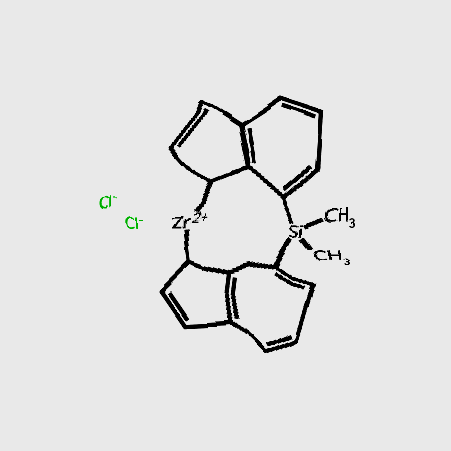 C[Si]1(C)c2cccc3c2[CH](C=C3)[Zr+2][CH]2C=Cc3cccc1c32.[Cl-].[Cl-]